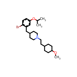 COC1CCC(CCN2CCC(Cc3cc(OC(C)C)ccc3Br)CC2)CC1